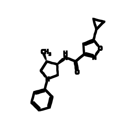 C[C@H]1CN(c2ccccc2)C[C@@H]1NC(=O)c1cc(C2CC2)on1